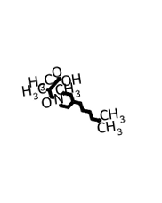 CC(C)CCCCC1CCN(C(=O)C(C)C(C)(C)C(=O)O)CC1